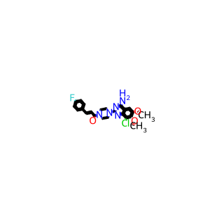 COc1cc2c(N)nc(N3CCN(C(=O)C=Cc4ccc(F)cc4)CC3)nc2c(Cl)c1OC